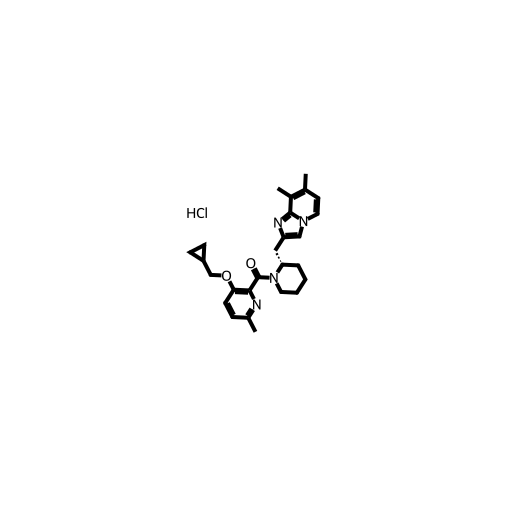 Cc1ccc(OCC2CC2)c(C(=O)N2CCCC[C@H]2Cc2cn3ccc(C)c(C)c3n2)n1.Cl